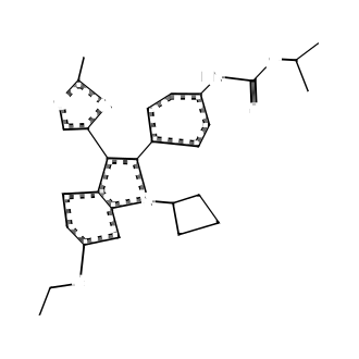 CCOc1ccc2c(-c3coc(C)n3)c(-c3ccc(NC(=O)OC(C)C)cc3)n(C3CCC3)c2c1